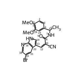 COc1ccc(C(C)NC(=O)C(C#N)=Cc2c[nH]c3ncc(Br)cc23)cc1OC